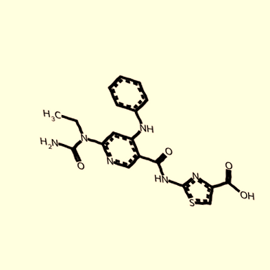 CCN(C(N)=O)c1cc(Nc2ccccc2)c(C(=O)Nc2nc(C(=O)O)cs2)cn1